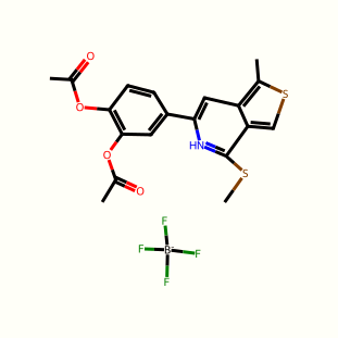 CSc1[nH+]c(-c2ccc(OC(C)=O)c(OC(C)=O)c2)cc2c(C)scc12.F[B-](F)(F)F